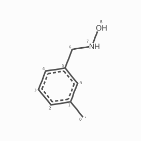 [CH2]c1cccc(CNO)c1